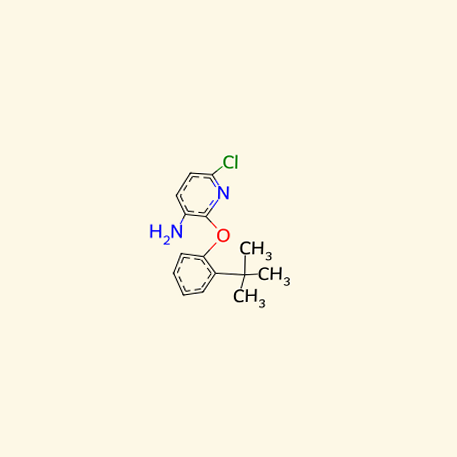 CC(C)(C)c1ccccc1Oc1nc(Cl)ccc1N